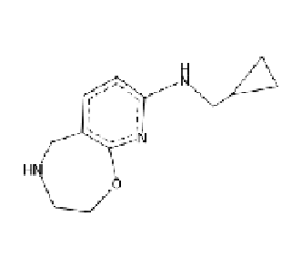 c1cc2c(nc1NCC1CC1)OCCNC2